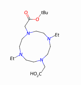 CCN1CCN(CC(=O)O)CCN(CC)CCN(CC(=O)OC(C)(C)C)CC1